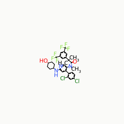 CN(C(=O)C(C)(C)c1cc(C(F)(F)F)cc(C(F)(F)F)c1)c1cnc(NC2CCC(O)CC2)cc1-c1ccc(Cl)cc1Cl